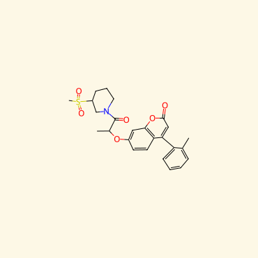 Cc1ccccc1-c1cc(=O)oc2cc(OC(C)C(=O)N3CCCC(S(C)(=O)=O)C3)ccc12